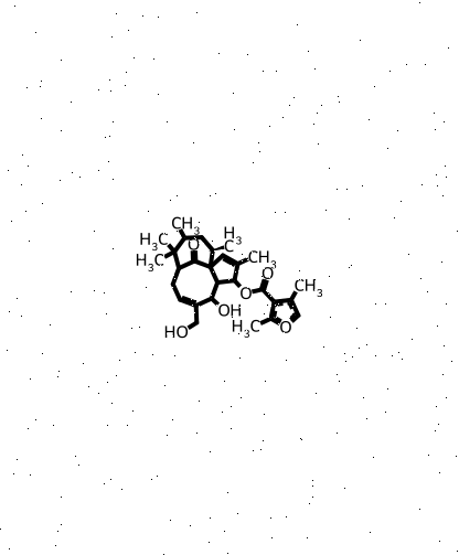 CC1=CC23C(=O)C(C/C=C(/CO)C(O)C2C1OC(=O)c1c(C)coc1C)C(C)(C)C(C)C[C@H]3C